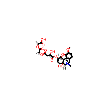 COc1ccc2c3c1O[C@H]1C(OC(=O)[C@@H](O)CC(=O)O[C@@H](C)C(=O)O[C@@H](C)C(=O)O)=CC[C@@]4(O)[C@@H](C2)N(C)CC[C@]314